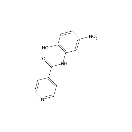 O=C(Nc1cc([N+](=O)[O-])ccc1O)c1ccncc1